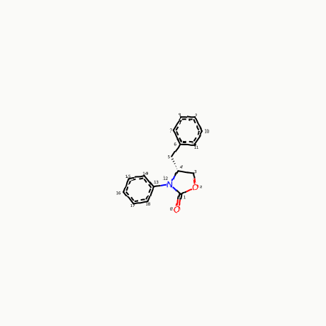 O=C1OC[C@@H](Cc2ccccc2)N1c1ccccc1